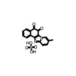 Cc1ccc2nc3c(n2c1)C(=O)C(=O)c1ccccc1-3.O=S(=O)(O)O